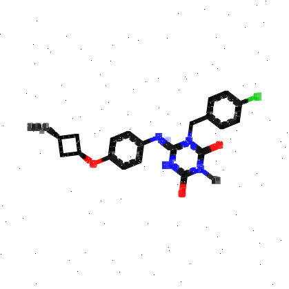 CCOC(=O)[C@H]1C[C@@H](Oc2ccc(/N=c3\[nH]c(=O)n(CC)c(=O)n3Cc3ccc(Cl)cc3)cc2)C1